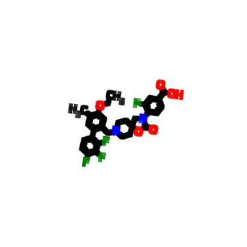 CCOc1cc(CN2CCC3(CC2)CN(c2ccc(C(=O)O)cc2F)C(=O)O3)c(-c2ccc(F)c(F)c2F)cc1C